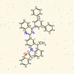 CC1c2cc(-c3nc(-c4cc(-c5ccccc5)cc(-c5ccccc5)c4)c4ccccc4n3)ccc2-n2c3oc4ccccc4c3c3cccc1c32